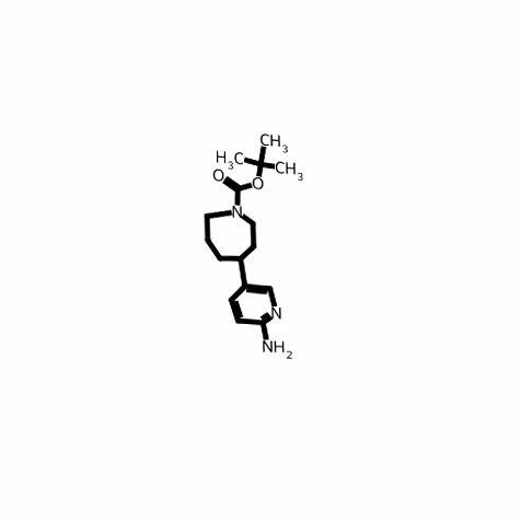 CC(C)(C)OC(=O)N1CCCC(c2ccc(N)nc2)CC1